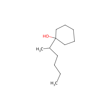 CCCCC(C)C1(O)CCCCC1